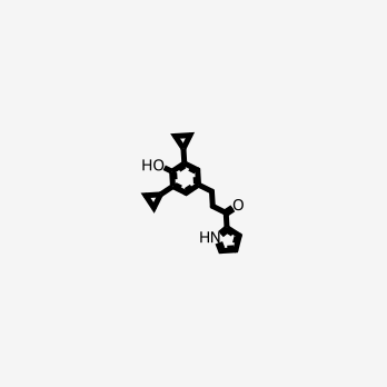 O=C(CCc1cc(C2CC2)c(O)c(C2CC2)c1)c1ccc[nH]1